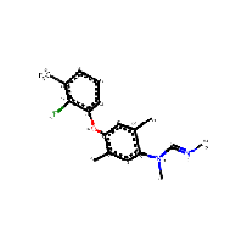 CCN=CN(C)c1cc(C)c(Oc2cccc(C(F)(F)F)c2F)cc1C